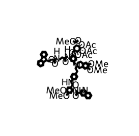 COC(=O)[C@H]1CC(Oc2ccc(C[N+]3(CCc4ccc(NC(=O)c5cc(OC)c(OC)cc5NC(=O)c5cnc6ccccc6c5)cc4)CCc4cc(OC)c(OC)cc4C3)cc2NC(=O)CCNC(=O)OCC2c3ccccc3-c3ccccc32)[C@H](OC(C)=O)[C@@H](OC(C)=O)[C@@H]1OC(C)=O